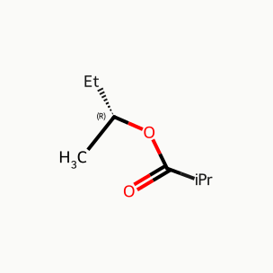 CC[C@@H](C)OC(=O)C(C)C